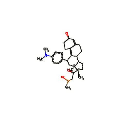 CN(C)c1ccc(C2C[C@@]3(C)C(CC[C@]3(C)C(=O)C[S+](C)[O-])C3CCC4=CC(=O)CCC4=C23)cc1